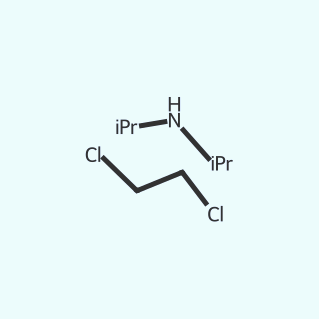 CC(C)NC(C)C.ClCCCl